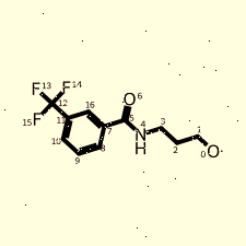 [O]CCCNC(=O)c1cccc(C(F)(F)F)c1